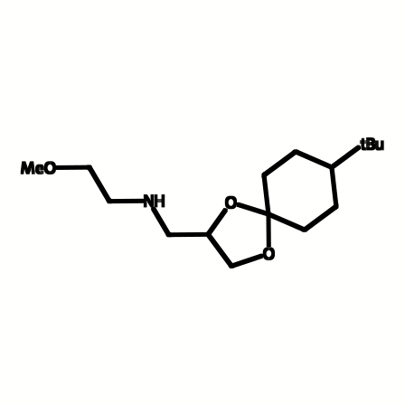 COCCNCC1COC2(CCC(C(C)(C)C)CC2)O1